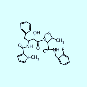 CC1SCN(C(=O)[C@@H](O)[C@H](Cc2ccccc2)NC(=O)c2cccn2C)[C@@H]1C(=O)NCc1ccccc1F